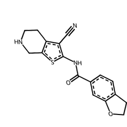 N#Cc1c(NC(=O)c2ccc3c(c2)OCC3)sc2c1CCNC2